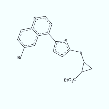 CCOC(=O)C1CC1Sc1ccc(-c2ccnc3ccc(Br)cc23)s1